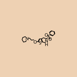 O=S(=O)(c1ccccc1)C1Cc2cc(OCCCN3CCCCC3)sc2CN1